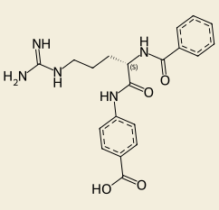 N=C(N)NCCC[C@H](NC(=O)c1ccccc1)C(=O)Nc1ccc(C(=O)O)cc1